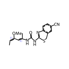 C/C=C(\C=C(/C)NC(=O)NC1=Nc2ccc(C#N)cc2CS1)OC